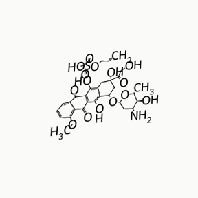 C=CCOS(=O)(=O)O.COc1cccc2c1C(=O)c1c(O)c3c(c(O)c1C2=O)C[C@@](O)(C(=O)CO)C[C@@H]3O[C@H]1C[C@H](N)[C@H](O)[C@H](C)O1